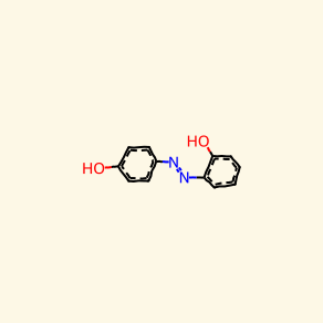 Oc1ccc(/N=N/c2ccccc2O)cc1